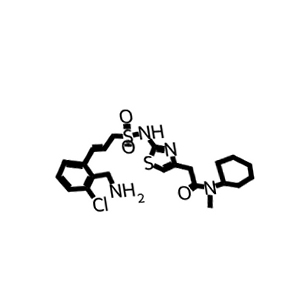 CN(C(=O)Cc1csc(NS(=O)(=O)CC=Cc2cccc(Cl)c2CN)n1)C1CCCCC1